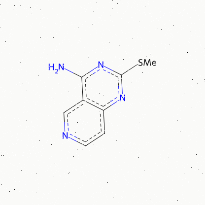 CSc1nc(N)c2cnccc2n1